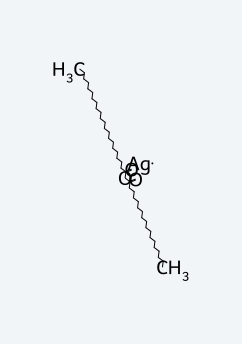 CCCCCCCCCCCCCCCCCCCCCC(=O)OC(=O)CCCCCCCCCCCCCCCCC.[Ag]